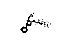 CC(C)NCc1nc(-c2ccccc2)cn1COCCS(C)(C)C